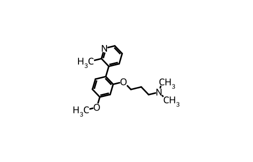 COc1ccc(-c2cccnc2C)c(OCCCN(C)C)c1